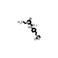 CCC[n+]1cc(Br)cc(C(=O)Nc2ccc(CCN3CCOC3=O)cc2)c1.[I-]